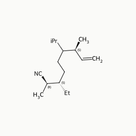 C=C[C@H](C)C(CC[C@H](CC)[C@@H](C)C#N)C(C)C